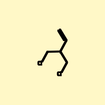 C=C[C](CCl)CCl